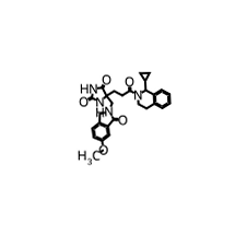 COc1ccc2c(c1)C(=O)N(CC1(CCC(=O)N3CCc4ccccc4C3C3CC3)NC(=O)NC1=O)C2